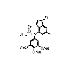 CCOC=O.CCn1ccc2c(Nc3cc(OC)c(OC)c(OC)c3)cc(C)cc21